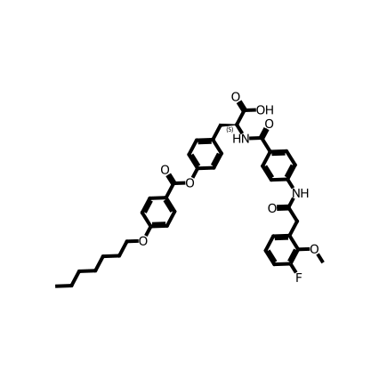 CCCCCCCOc1ccc(C(=O)Oc2ccc(C[C@H](NC(=O)c3ccc(NC(=O)Cc4cccc(F)c4OC)cc3)C(=O)O)cc2)cc1